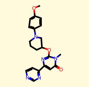 COc1ccc(N2CCCC(Oc3nc(-c4ccncn4)cc(=O)n3C)C2)cc1